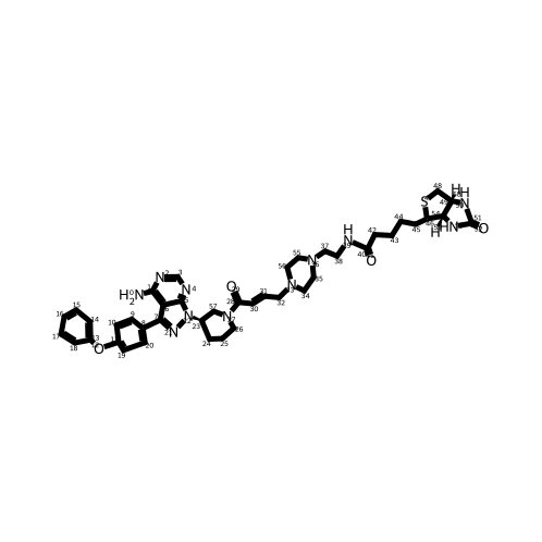 Nc1ncnc2c1c(-c1ccc(Oc3ccccc3)cc1)nn2[C@@H]1CCCN(C(=O)/C=C/CN2CCN(CCNC(=O)CCCCC3SC[C@@H]4NC(=O)N[C@H]34)CC2)C1